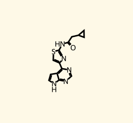 O=C(CC1CC1)Nc1nc(-c2ncnc3[nH]ccc23)cs1